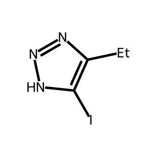 CCc1nn[nH]c1I